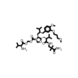 COCCCOc1cc(C[C@@H](C[C@H]2[C@H](C[C@H](C(=O)NCC(C)(C)C(N)=O)C(C)C)OCN2C(=O)OCOC(=O)[C@@H](N)C(C)C)C(C)C)ccc1OC